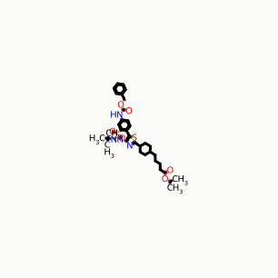 CC(C)OC(=O)CCCCC1CCC(c2ncc(-c3ccc(NC(=O)OCc4ccccc4)cc3S(=O)(=O)NC(C)(C)C)s2)CC1